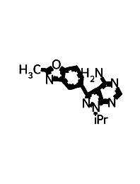 Cc1nc2cc(-c3nn(C(C)C)c4ncnc(N)c34)ccc2o1